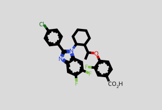 CC(Oc1ccc(C(=O)O)cc1F)C1CCCCC1n1c(-c2ccc(Cl)cc2)nc2cc(F)c(F)cc21